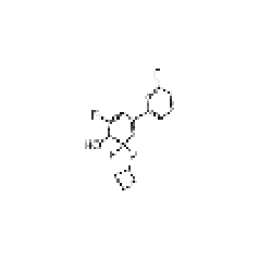 OC1C(F)=CC(c2cccc(F)c2)=CC1(F)OC1CCC1